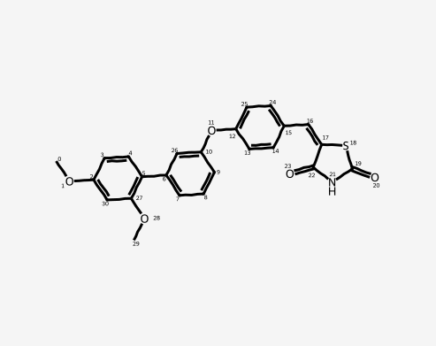 COc1ccc(-c2cccc(Oc3ccc(C=C4SC(=O)NC4=O)cc3)c2)c(OC)c1